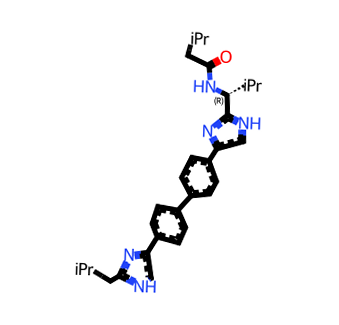 CC(C)CC(=O)N[C@@H](c1nc(-c2ccc(-c3ccc(-c4c[nH]c(CC(C)C)n4)cc3)cc2)c[nH]1)C(C)C